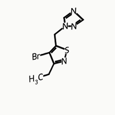 CCc1nsc(Cn2cncn2)c1Br